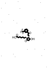 O=C(O)CCCCCC[C@@H]1C(=O)C[C@@H](O)[C@H]1C=CC(=O)c1cccc(C(F)(F)F)c1